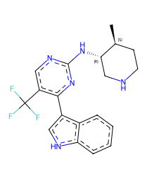 C[C@H]1CCNC[C@@H]1Nc1ncc(C(F)(F)F)c(-c2c[nH]c3ccccc23)n1